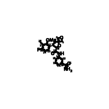 COc1c([C@@H]2CC3(COC3)O[C@H]2C(=O)Nc2ccnc(C(N)=O)c2)ccc(F)c1C